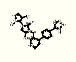 CCCCc1cn(-c2c(CC)cnn2C(C)C)c(=O)n1Cc1cnccc1-c1ccc(-c2nnn[nH]2)cc1